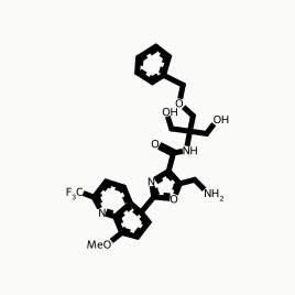 COc1ccc(-c2nc(C(=O)NC(CO)(CO)COCc3ccccc3)c(CN)o2)c2ccc(C(F)(F)F)nc12